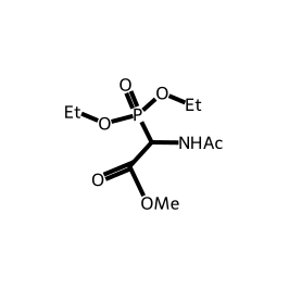 CCOP(=O)(OCC)C(NC(C)=O)C(=O)OC